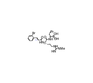 CNC(=N)NCCC[C@H](NC(=O)/C=C/c1ccccc1Br)C(=O)N[C@@H](CC(C)C)B(O)O